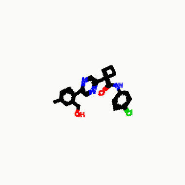 Cc1ccc(-c2cnc(C3(C(=O)Nc4ccc(Cl)cc4)CCC3)cn2)c(CO)c1